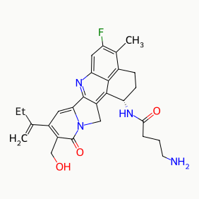 C=C(CC)c1cc2n(c(=O)c1CO)Cc1c-2nc2cc(F)c(C)c3c2c1[C@@H](NC(=O)CCCN)CC3